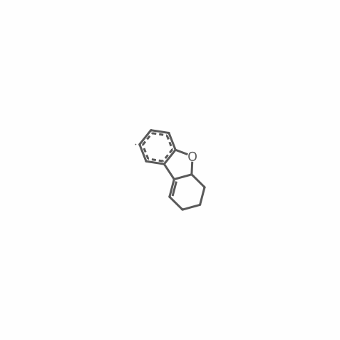 [c]1ccc2c(c1)C1=CCCCC1O2